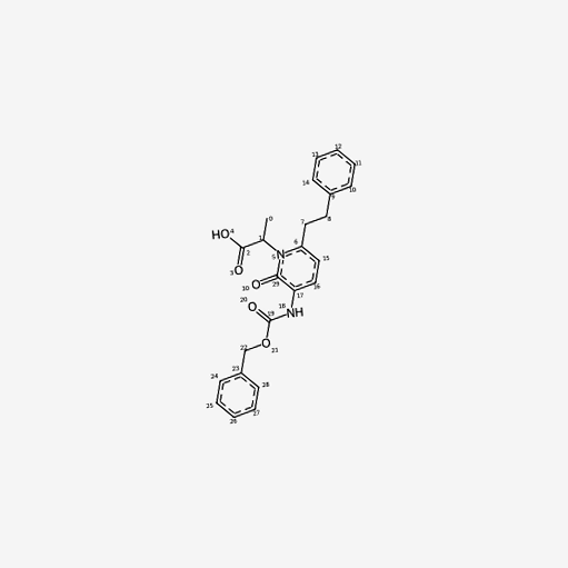 CC(C(=O)O)n1c(CCc2ccccc2)ccc(NC(=O)OCc2ccccc2)c1=O